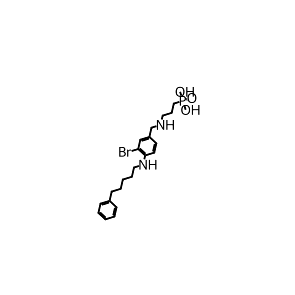 O=P(O)(O)CCCNCc1ccc(NCCCCCc2ccccc2)c(Br)c1